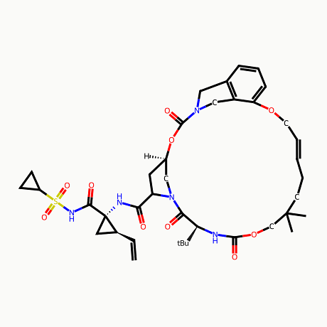 C=C[C@H]1C[C@@]1(NC(=O)C1C[C@@H]2CN1C(=O)[C@H](C(C)(C)C)NC(=O)OCC(C)(C)CC/C=C/COc1cccc3c1CN(C3)C(=O)O2)C(=O)NS(=O)(=O)C1CC1